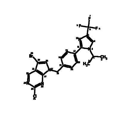 CC(C)n1cc(C(F)(F)F)nc1-c1ccc(Cn2cc(Br)c3cnc(Cl)nc32)cc1